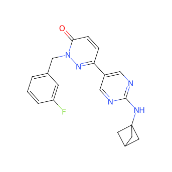 O=c1ccc(-c2cnc(NC34CC(C3)C4)nc2)nn1Cc1cccc(F)c1